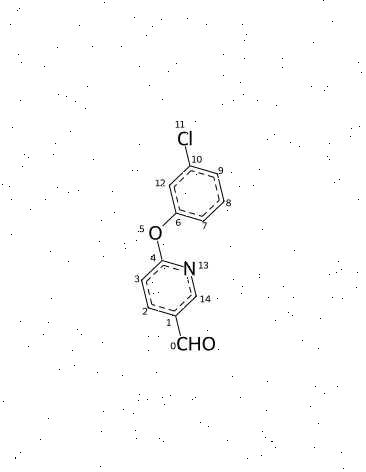 O=Cc1ccc(Oc2cccc(Cl)c2)nc1